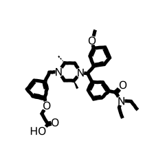 CCN(CC)C(=O)c1cccc(C(c2cccc(OC)c2)N2C[C@@H](C)N(Cc3cccc(OCC(=O)O)c3)C[C@@H]2C)c1